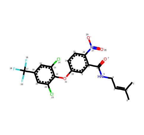 CC(C)=CCNC(=O)c1cc(Oc2c(Cl)cc(C(F)(F)F)cc2Cl)ccc1[N+](=O)[O-]